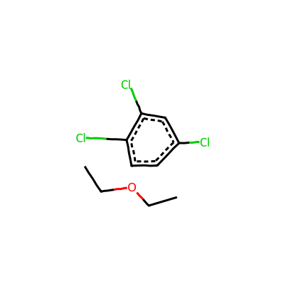 CCOCC.Clc1ccc(Cl)c(Cl)c1